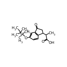 CC(C(=O)O)C1CC(=O)c2cc(O[Si](C)(C)C(C)(C)C)ccc21